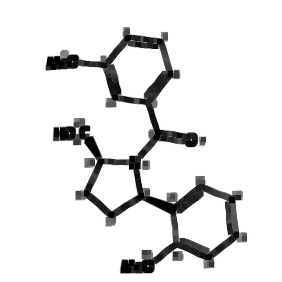 COc1cccc(C(=O)N2[C@@H](c3ccccc3OC)CC[C@H]2C(=O)O)c1